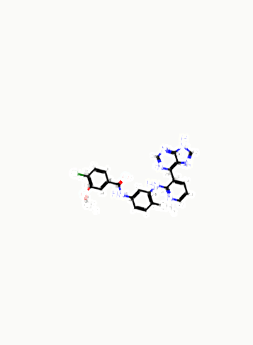 Cc1ccc(NC(=O)c2ccc(Cl)c(OC(F)(F)F)c2)cc1Nc1ncccc1-c1ncnc2[nH]cnc12